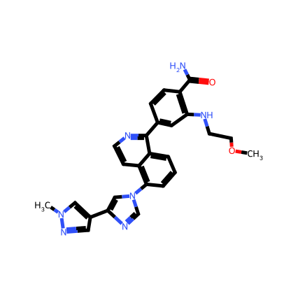 COCCNc1cc(-c2nccc3c(-n4cnc(-c5cnn(C)c5)c4)cccc23)ccc1C(N)=O